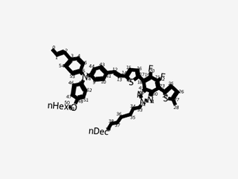 C/C=C/c1ccc(N(c2ccc(/C=C/c3ccc(-c4c(F)c(F)c(-c5ccc(C)s5)c5nn(CCCCCCCCCCCCCCCC)nc45)s3)cc2)c2ccc(OCCCCCC)cc2)cc1